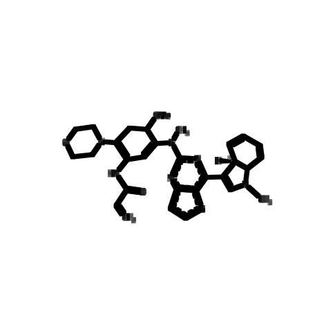 C=CC(=O)NC1=C(N2CCOCC2)CC(OC)C(N(C)c2nc(C3=CN(C)C4C=CC=C[C@H]34)c3sccc3n2)=C1